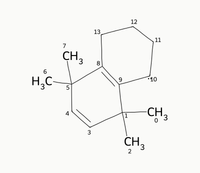 CC1(C)C=CC(C)(C)C2=C1[C]CCC2